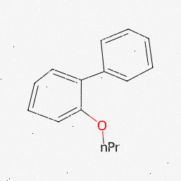 [CH2]CCOc1ccccc1-c1ccccc1